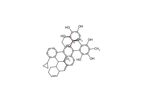 Cc1c(O)c(O)c(-c2c3c(c(-c4cccc(C5CC5)c4C4C(C)C=CC5C=CCCC54)c4ccccc24)CCC[C@H]3C)c(-c2cc(O)c(O)c(O)c2O)c1O